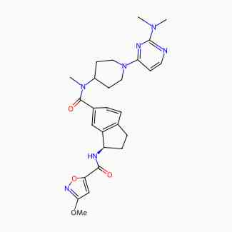 COc1cc(C(=O)N[C@@H]2CCc3ccc(C(=O)N(C)C4CCN(c5ccnc(N(C)C)n5)CC4)cc32)on1